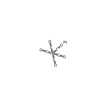 O=[C]=[Fe](=[C]=O)(=[C]=O)(=[C]=O)=[C]=O.[Pt]